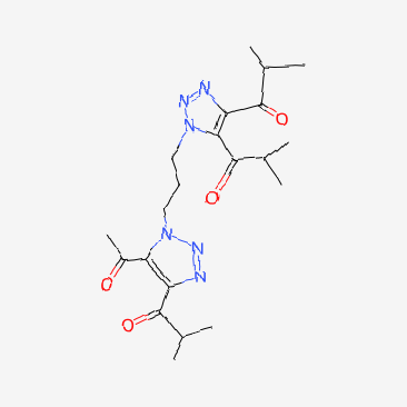 CC(=O)c1c(C(=O)C(C)C)nnn1CCCn1nnc(C(=O)C(C)C)c1C(=O)C(C)C